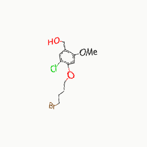 COc1cc(OCCCCBr)c(Cl)cc1CO